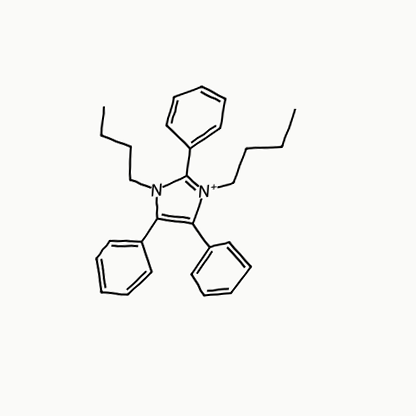 CCCCn1c(-c2ccccc2)c(-c2ccccc2)[n+](CCCC)c1-c1ccccc1